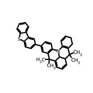 CC1(C)C2=CC=CC3C2N(C2=C(CCC=C2)C3(C)C)c2ccc(-c3ccc4sc5ccccc5c4c3)cc21